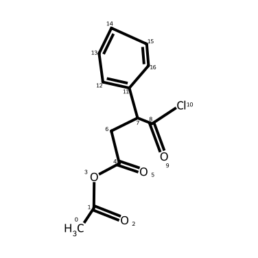 CC(=O)OC(=O)CC(C(=O)Cl)c1ccccc1